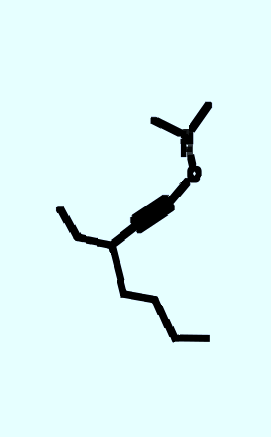 CCCCC(C#CO[SiH](C)C)CC